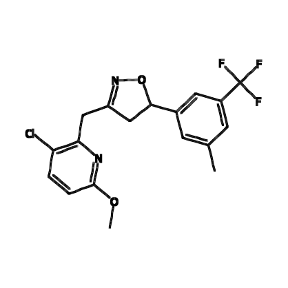 COc1ccc(Cl)c(CC2=NOC(c3cc(C)cc(C(F)(F)F)c3)C2)n1